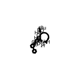 CC(C)(C)OC(=O)N[C@@H]1CCCCC/C=C\[C@H]2C[C@@]2(C(=O)O)NC(=O)[C@@H]2[C@H]3CN(S(=O)(=O)c4cccc(-c5ccccc5)c4)C[C@H]3CN2C1=O